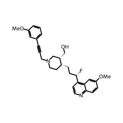 COc1cccc(C#CCN2CC[C@@H](CC[C@H](F)c3ccnc4ccc(OC)cc34)[C@@H](CO)C2)c1